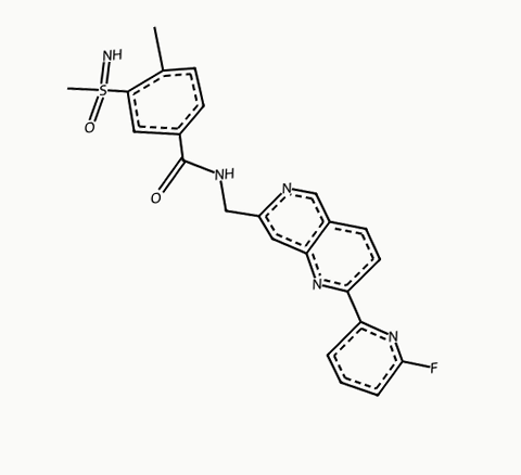 Cc1ccc(C(=O)NCc2cc3nc(-c4cccc(F)n4)ccc3cn2)cc1S(C)(=N)=O